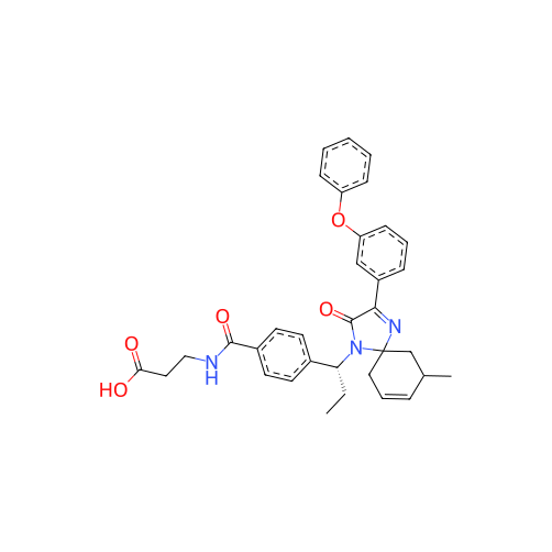 CC[C@H](c1ccc(C(=O)NCCC(=O)O)cc1)N1C(=O)C(c2cccc(Oc3ccccc3)c2)=NC12CC=CC(C)C2